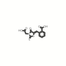 O=C(O)CN1C(=O)/C(=C/c2ccccc2C(=O)O)SC1=S